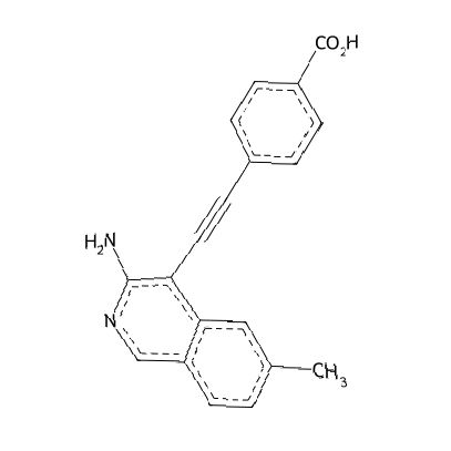 Cc1ccc2cnc(N)c(C#Cc3ccc(C(=O)O)cc3)c2c1